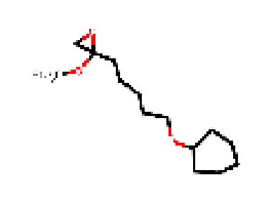 CCOC(=O)OC1(CCCCCOC2CCCCC2)CO1